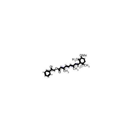 COC1CCC(C)(C)C(/C=C/C(C)=C/C=C/C(C)=C/C(=O)OCC(=O)c2ccccc2)=C1C